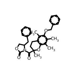 Cc1c(C)c2c(c(C)c1OCc1ccccc1)CCC(C)(C(=O)N1C(=O)OCC1Cc1ccccc1)O2